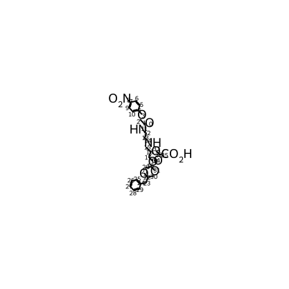 O=C(COc1ccc([N+](=O)[O-])cc1)NCCNCC(COC1COC(Cc2ccccc2)CO1)OC(=O)C(=O)O